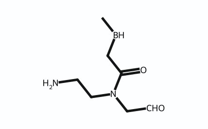 CBCC(=O)N(CC=O)CCN